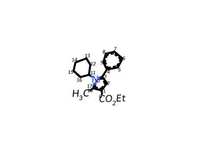 CCOC(=O)c1cc(-c2ccccc2)n(C2CCCCC2)c1C